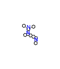 c1ccc(-c2cc(-n3c4ccccc4c4cc5cc6c(ccn6-c6ccccc6)cc5cc43)cc(-c3ccccc3)n2)cc1